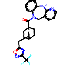 O=C(N1Cc2cccnc2Nc2ccccc21)C12CCC(CC1)C(Cc1nc(C(F)(F)F)no1)C2